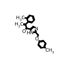 C=C(C(=O)c1cnc(COc2ccc(C)cc2)[nH]1)c1ccccc1C